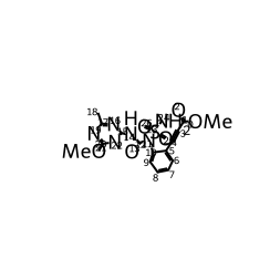 COC(=O)C#Cc1ccccc1N(C(=O)Nc1nc(C)nc(OC)n1)S(N)(=O)=O